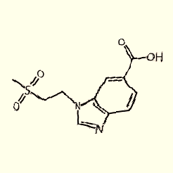 CS(=O)(=O)CCn1cnc2ccc(C(=O)O)cc21